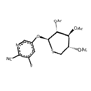 CC(=O)O[C@@H]1[C@@H](OC(C)=O)[C@H](OC(C)=O)CS[C@H]1Oc1cnc(C#N)c(F)c1